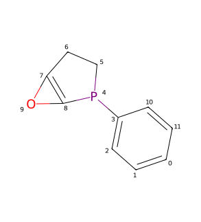 c1ccc(P2CCC3=C2O3)cc1